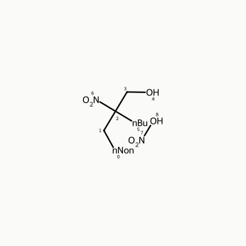 CCCCCCCCCCC(CO)(CCCC)[N+](=O)[O-].O=[N+]([O-])O